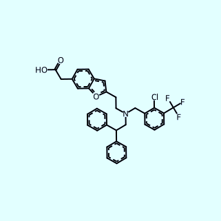 O=C(O)Cc1ccc2cc(CCN(Cc3cccc(C(F)(F)F)c3Cl)CC(c3ccccc3)c3ccccc3)oc2c1